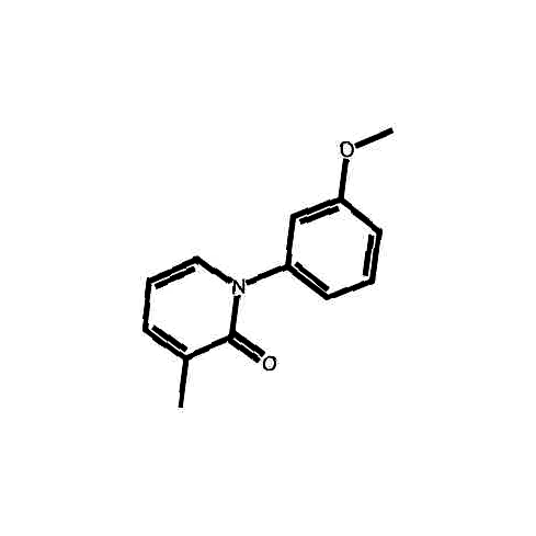 COc1cccc(-n2cccc(C)c2=O)c1